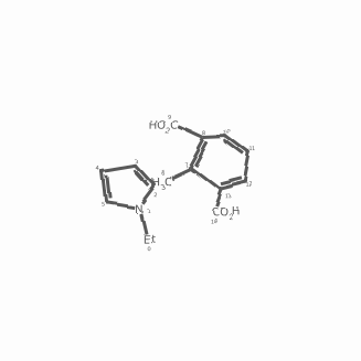 CCn1cccc1.Cc1c(C(=O)O)cccc1C(=O)O